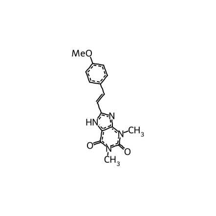 COc1ccc(C=Cc2nc3c([nH]2)c(=O)n(C)c(=O)n3C)cc1